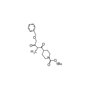 CC(C(=O)COCc1ccccc1)C(=O)C1CCN(C(=O)OC(C)(C)C)CC1